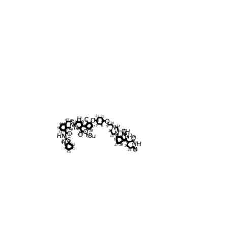 Cc1c(OC2CCC(OCCN3CCN(c4cccc5c(C6CCC(=O)NC6=O)nn(C)c45)CC3)CC2)cccc1-c1ccc(N2CCc3cccc(C(=O)Nc4nc5ccccc5s4)c3C2)nc1C(=O)OC(C)(C)C